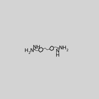 N=C(N)Cc1ccc(CCc2ccc(CC(=N)N)cc2)cc1